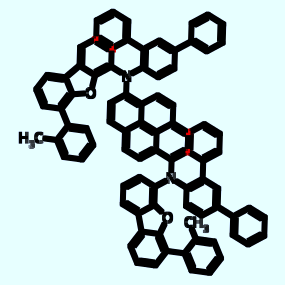 Cc1ccccc1-c1cccc2c1oc1c(N(c3ccc(-c4ccccc4)cc3-c3ccccc3)c3ccc4ccc5c(N(c6ccc(-c7ccccc7)cc6-c6ccccc6)c6cccc7c6oc6c(-c8ccccc8C)cccc67)ccc6ccc3c4c65)cccc12